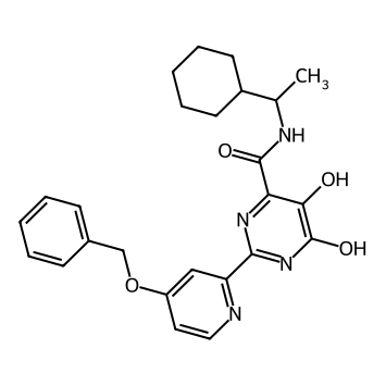 CC(NC(=O)c1nc(-c2cc(OCc3ccccc3)ccn2)nc(O)c1O)C1CCCCC1